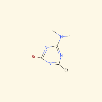 CCc1nc(Br)nc(N(C)C)n1